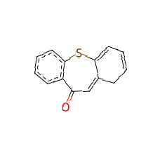 O=C1C=C2CC=CC=C2Sc2ccccc21